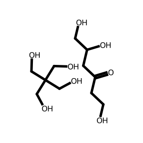 O=C(CCO)CC(O)CO.OCC(CO)(CO)CO